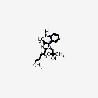 C=c1nc(CCCCC)n(CC(C)(C)O)/c1=C1\C=CC=CC1=N